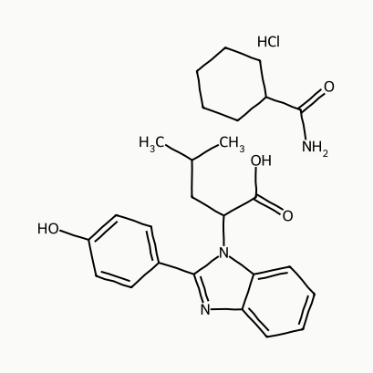 CC(C)CC(C(=O)O)n1c(-c2ccc(O)cc2)nc2ccccc21.Cl.NC(=O)C1CCCCC1